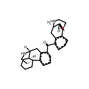 O=C(c1cccc2c1C[C@H]1NCC[C@@]23CCCC[C@@H]13)c1cccc2c1C[C@H]1NCC[C@@]23CCCC[C@@H]13